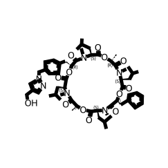 CC(C)C[C@H]1C(=O)O[C@H](Cc2ccc(Cn3cc(CO)cn3)cc2)C(=O)N(C)[C@@H](CC(C)C)C(=O)O[C@H](C)C(=O)N(C)[C@@H](CC(C)C)C(=O)O[C@H](Cc2ccccc2)C(=O)N(C)[C@@H](CC(C)C)C(=O)O[C@H](C)C(=O)N1C